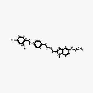 CCOc1ccc2[nH]c(COCCc3ccc(OCc4ccc(F)cc4F)cc3)nc2c1